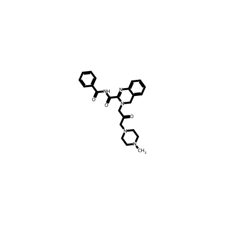 CN1CCN(CC(=O)CN2Cc3ccccc3N=C2C(=O)NC(=O)c2ccccc2)CC1